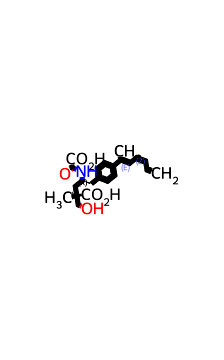 C=C/C=C\C=C(/C)c1ccc(C[C@H](C[C@@](C)(CO)C(=O)O)NC(=O)C(=O)O)cc1